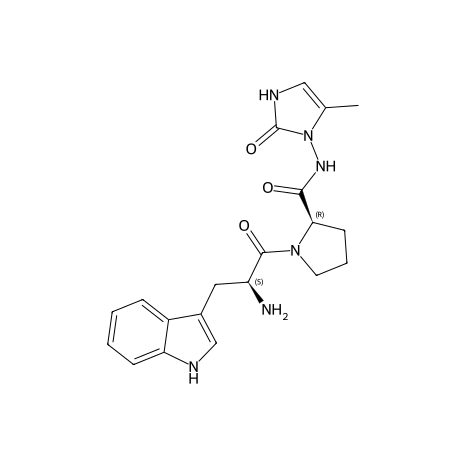 Cc1c[nH]c(=O)n1NC(=O)[C@H]1CCCN1C(=O)[C@@H](N)Cc1c[nH]c2ccccc12